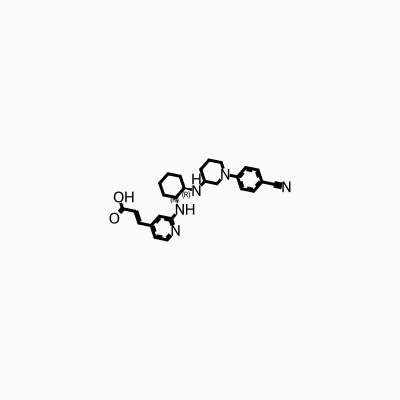 N#Cc1ccc(N2CCCC(N[C@@H]3CCCC[C@H]3Nc3cc(C=CC(=O)O)ccn3)C2)cc1